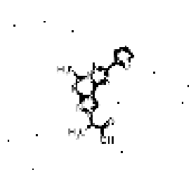 CC(C(=O)O)n1cc2c(nc(N)n3nc(-c4ccco4)nc23)n1